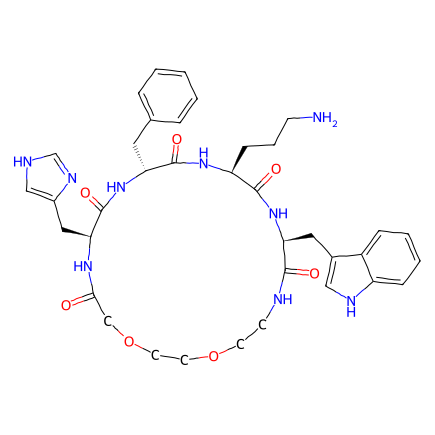 NCCC[C@@H]1NC(=O)[C@@H](Cc2ccccc2)NC(=O)[C@H](Cc2c[nH]cn2)NC(=O)COCCOCCNC(=O)[C@H](Cc2c[nH]c3ccccc23)NC1=O